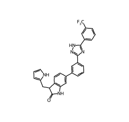 O=C1Nc2cc(-c3cccc(-c4n[nH]c(-c5cccc(C(F)(F)F)c5)n4)c3)ccc2C1Cc1ccc[nH]1